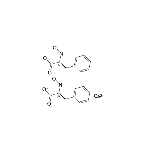 O=N[C@@H](Cc1ccccc1)C(=O)[O-].O=N[C@@H](Cc1ccccc1)C(=O)[O-].[Ca+2]